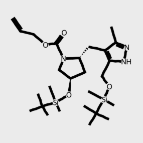 C=CCOC(=O)N1C[C@H](O[Si](C)(C)C(C)(C)C)C[C@H]1Cc1c(C)n[nH]c1CO[Si](C)(C)C(C)(C)C